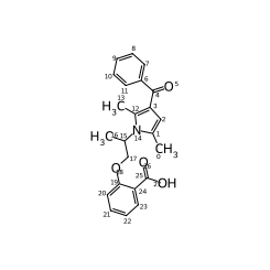 Cc1cc(C(=O)c2ccccc2)c(C)n1C(C)COc1ccccc1C(=O)O